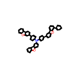 c1ccc(-c2cccc3c2oc2ccc(-c4ccc(N(c5ccc(-c6ccc7c(c6)oc6ccccc67)cc5)c5ccc6oc7ccccc7c6c5)cc4)cc23)cc1